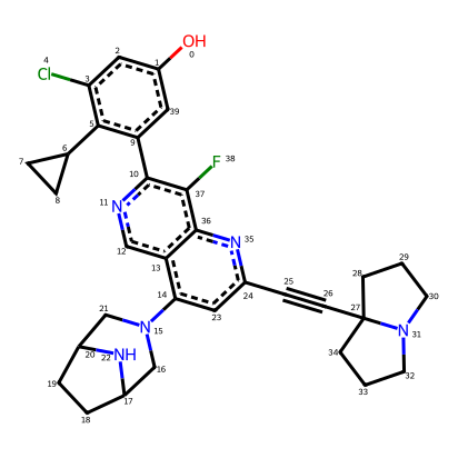 Oc1cc(Cl)c(C2CC2)c(-c2ncc3c(N4CC5CCC(C4)N5)cc(C#CC45CCCN4CCC5)nc3c2F)c1